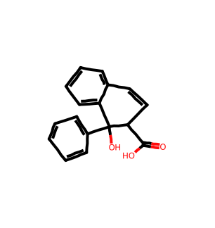 O=C(O)C1C=Cc2ccccc2C1(O)c1ccccc1